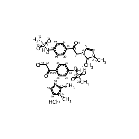 CC1N(C)C=CN1CC(=O)c1ccc(NS(C)(=O)=O)cc1.CS(=O)(=O)Nc1ccc(C(=O)CCl)cc1.Cc1nccn1C.Cl